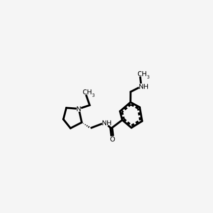 CCN1CCC[C@H]1CNC(=O)c1cccc(CNC)c1